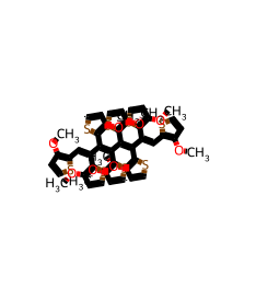 COc1ccsc1C=C(C(=C(C(=C(C(=Cc1sccc1OC)c1sccc1OC)c1sccc1OC)c1sccc1OC)c1s[c]cc1OC)c1s[c]cc1OC)c1sccc1OC